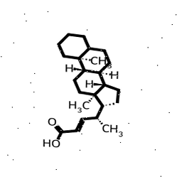 C[C@H](C=CC(=O)O)[C@H]1CC[C@H]2[C@@H]3CCC4CCCC[C@]4(C)[C@H]3CC[C@]12C